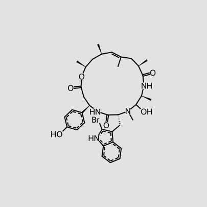 C/C1=C\[C@H](C)C[C@H](C)OC(=O)C[C@H](c2ccc(O)cc2)NC(=O)[C@@H](Cc2c(Br)[nH]c3ccccc23)N(C)C(O)[C@H](C)NC(=O)[C@H](C)C1